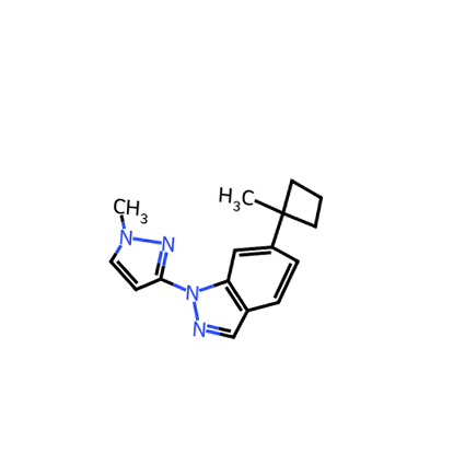 Cn1ccc(-n2ncc3ccc(C4(C)CCC4)cc32)n1